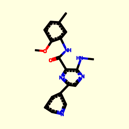 CNc1ncc(-c2cccnc2)nc1C(=O)Nc1cc(C)ccc1OC